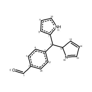 O=Cc1ccc(C(c2ccc[nH]2)C2C=CC=N2)cc1